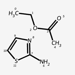 CCOC(C)=O.Nc1nccs1